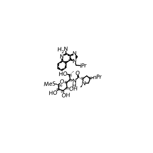 CC(C)Cn1cnc2c(N)nc3ccccc3c21.CCC[C@@H]1C[C@@H](C(=O)N[C@@H]([C@H]2O[C@H](SC)[C@H](O)[C@@H](O)[C@H]2O)[C@@H](C)O)N(C)C1